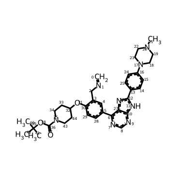 C=NCc1cc(-c2ncnc3[nH]c(-c4ccc(N5CCN(C)CC5)cc4)nc23)ccc1OC1CCN(C(=O)OC(C)(C)C)CC1